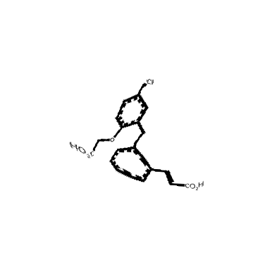 O=C(O)C=Cc1ccccc1Cc1cc(Cl)ccc1OCC(=O)O